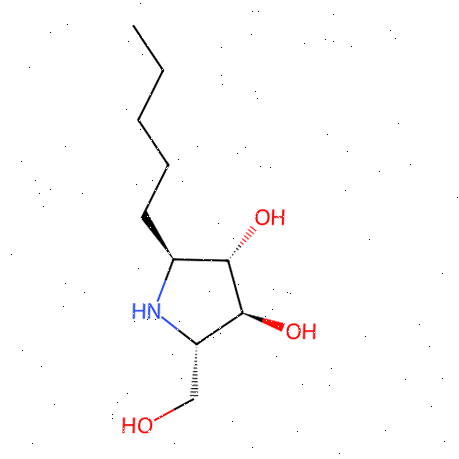 CCCCC[C@@H]1N[C@@H](CO)[C@H](O)[C@H]1O